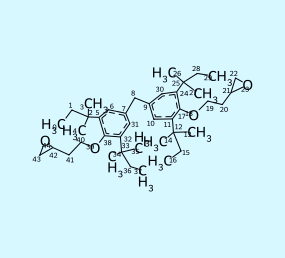 CCC(C)(C)c1cc(Cc2cc(C(C)(C)CC)c(OCCC3CO3)c(C(C)(C)CC)c2)cc(C(C)(C)CC)c1OCCC1CO1